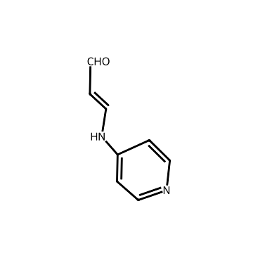 O=C/C=C/Nc1ccncc1